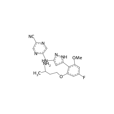 COc1cc(F)cc(OCCC(C)N)c1-c1cc(Nc2cnc(C#N)cn2)n[nH]1